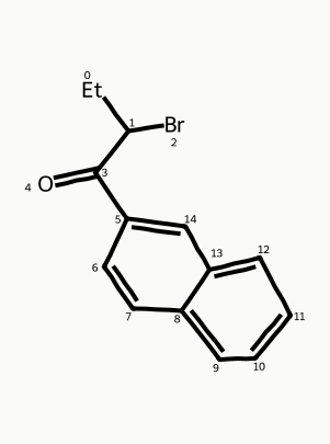 CCC(Br)C(=O)c1ccc2ccccc2c1